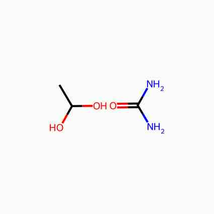 CC(O)O.NC(N)=O